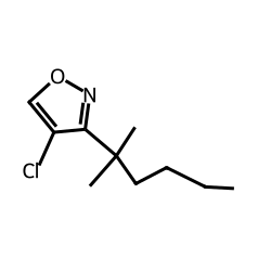 CCCCC(C)(C)c1nocc1Cl